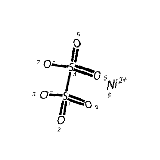 O=S(=O)([O-])S(=O)(=O)[O-].[Ni+2]